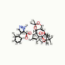 CC1=C[C@]23C(=O)[C@@H](C=C4COC(C)(C)O[C@H]4[C@]2(O)[C@H]1OC(=O)c1c(-c2ccccc2C)cnn1C)[C@H]1[C@@H](C[C@H]3C)C1(C)C